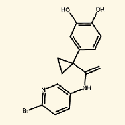 C=C(Nc1ccc(Br)nc1)C1(c2ccc(O)c(O)c2)CC1